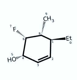 CC[C@H]1C=C[C@H](O)[C@H](F)[C@@H]1C